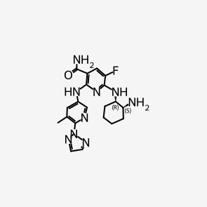 Cc1cc(Nc2nc(N[C@@H]3CCCC[C@@H]3N)c(F)cc2C(N)=O)cnc1-n1nccn1